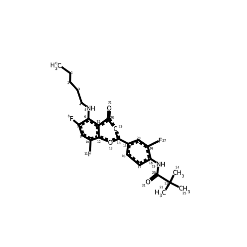 CCCCCNc1c(F)cc(F)c2oc(-c3ccc(NC(=O)C(C)(C)C)c(F)c3)cc(=O)c12